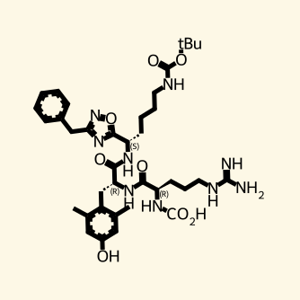 Cc1cc(O)cc(C)c1C[C@@H](NC(=O)[C@@H](CCCNC(=N)N)NC(=O)O)C(=O)N[C@@H](CCCCNC(=O)OC(C)(C)C)c1nc(Cc2ccccc2)no1